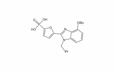 CC(C)COc1cccc2c1nc(-c1ccc(P(=O)(O)O)o1)n2CC(C)C